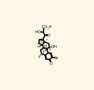 C[C@]12C=C(Br)C(=O)C=C1[C@H](F)C[C@H]1[C@@H]3CC=C(C(=O)C(O)CC(=O)O)[C@@]3(C)C[C@H](O)[C@@]12F